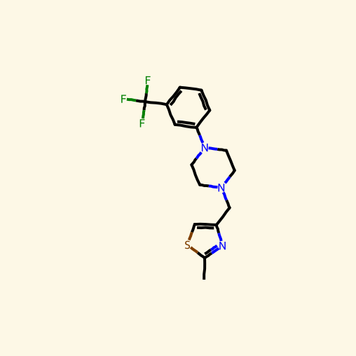 Cc1nc(CN2CCN(c3cccc(C(F)(F)F)c3)CC2)cs1